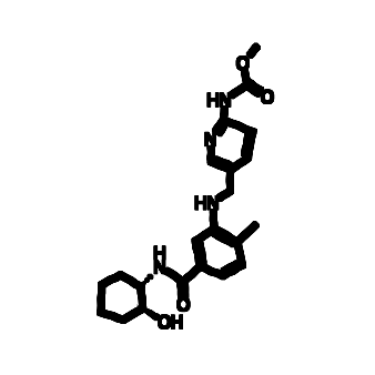 COC(=O)Nc1ccc(CNc2cc(C(=O)N[C@H]3CCCC[C@@H]3O)ccc2C)cn1